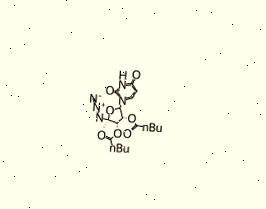 CCCCC(=O)O[C@H]1[C@H](n2ccc(=O)[nH]c2=O)O[C@](C)(N=[N+]=[N-])[C@H]1OC(=O)CCCC